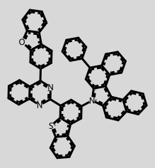 c1ccc(-c2cc3c(c4ccccc24)c2c4ccccc4ccc2n3-c2cc(-c3nc(-c4ccc5c(c4)oc4ccccc45)c4ccccc4n3)c3sc4ccccc4c3c2)cc1